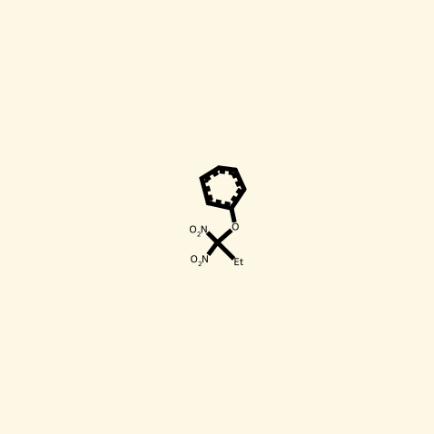 CCC(Oc1ccccc1)([N+](=O)[O-])[N+](=O)[O-]